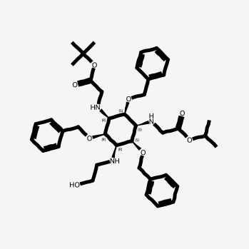 CC(C)OC(=O)CN[C@H]1[C@@H](OCc2ccccc2)[C@@H](NCCO)[C@@H](OCc2ccccc2)[C@@H](NCC(=O)OC(C)(C)C)[C@H]1OCc1ccccc1